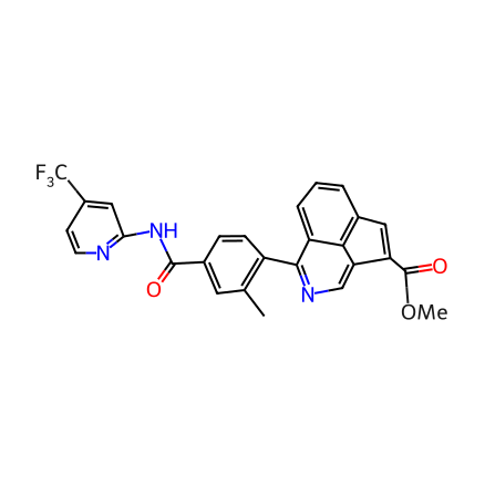 COC(=O)C1=Cc2cccc3c(-c4ccc(C(=O)Nc5cc(C(F)(F)F)ccn5)cc4C)ncc1c23